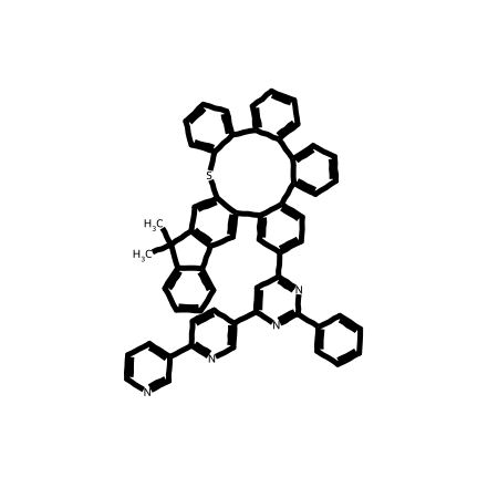 CC1(C)c2ccccc2-c2cc3c(cc21)Sc1ccccc1-c1ccccc1-c1ccccc1-c1ccc(-c2cc(-c4ccc(-c5cccnc5)nc4)nc(-c4ccccc4)n2)cc1-3